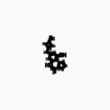 C=C(C)[C@@H]1CC=C[C@H]1c1c(O)cc(CC2CN(C(C)=O)C2)cc1O